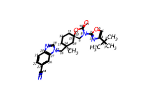 CC(C)(C)c1coc(N2C[C@@]3(CCC[C@](C)(Cn4cnc5ccc(C#N)cc54)C3)OC2=O)n1